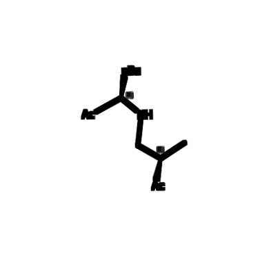 CCCC[C@@H](NC[C@@H](C)C(C)=O)C(C)=O